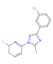 Cc1nc(-c2cccc(Cl)c2)cn1C1=NC(F)CC=C1